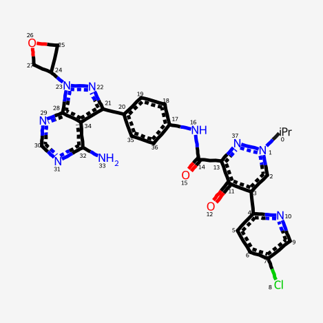 CC(C)n1cc(-c2ccc(Cl)cn2)c(=O)c(C(=O)Nc2ccc(-c3nn(C4COC4)c4ncnc(N)c34)cc2)n1